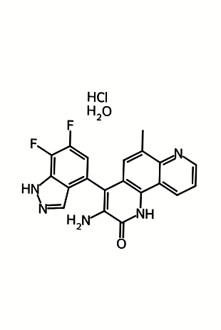 Cc1cc2c(-c3cc(F)c(F)c4[nH]ncc34)c(N)c(=O)[nH]c2c2cccnc12.Cl.O